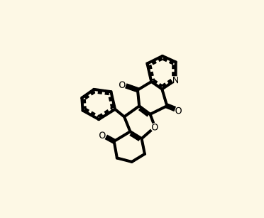 O=C1CCCC2=C1C(c1ccccc1)C1=C(O2)C(=O)c2ncccc2C1=O